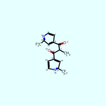 CC(C(=O)c1ccnc(C(F)(F)F)c1)C(=O)c1ccnc(C(F)(F)F)c1